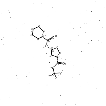 CC(C)(C)OC(=O)N1CC[C@@H](OC(=O)N2CCCCC2)C1